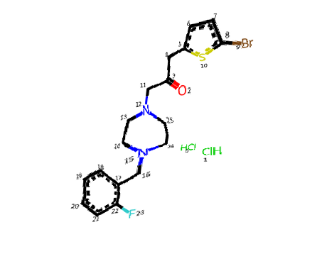 Cl.Cl.O=C(Cc1ccc(Br)s1)CN1CCN(Cc2ccccc2F)CC1